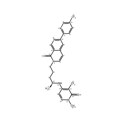 C[C@@H](CCCn1ccc2cc(-c3ccc(C(F)(F)F)cn3)ncc2c1=O)Nc1cnn(C)c(=O)c1C(F)(F)F